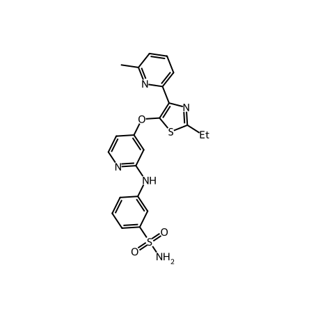 CCc1nc(-c2cccc(C)n2)c(Oc2ccnc(Nc3cccc(S(N)(=O)=O)c3)c2)s1